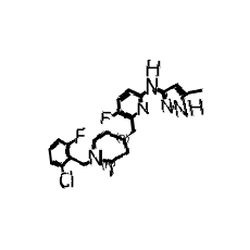 Cc1cc(Nc2ccc(F)c(C[C@@H]3CCN(Cc4c(F)cccc4Cl)[C@H](C)C3)n2)n[nH]1